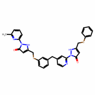 Cc1cccc(-n2[nH]c(CSc3cccc(Cc4ccnc(-n5[nH]c(CSc6ccccc6)cc5=O)c4)c3)cc2=O)n1